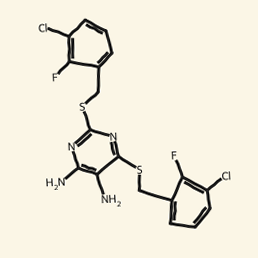 Nc1nc(SCc2cccc(Cl)c2F)nc(SCc2cccc(Cl)c2F)c1N